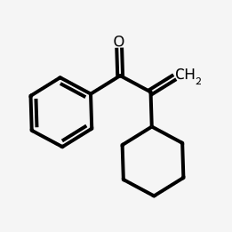 C=C(C(=O)c1ccccc1)C1CCCCC1